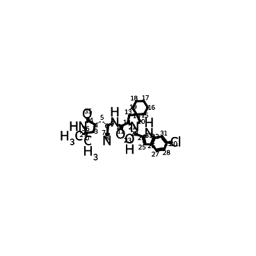 CC1(C)C[C@@H](C[C@@H](C#N)NC(=O)C2CC3(CCCCC3)CN2C(O)c2cc3ccc(Cl)cc3[nH]2)C(=O)N1